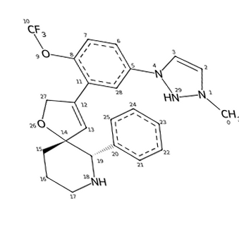 CN1C=CN(c2ccc(OC(F)(F)F)c(C3=C[C@@]4(CCCN[C@H]4c4ccccc4)OC3)c2)N1